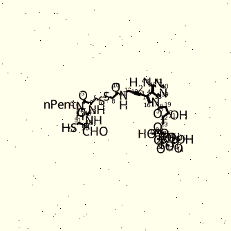 CCCCCNC(=O)C(CSSCC(=O)NCC#Cc1cn(C2CC(O)C(COP(=O)(O)OP(=O)(O)OP(=O)(O)O)O2)c2ncnc(N)c12)NC(=O)N[C@H](C=O)CS